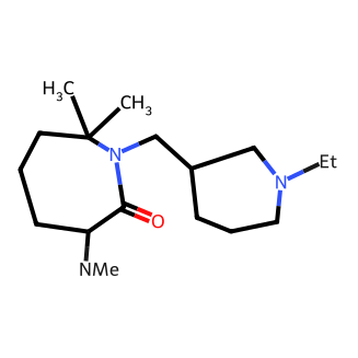 CCN1CCCC(CN2C(=O)C(NC)CCCC2(C)C)C1